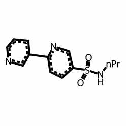 CCCNS(=O)(=O)c1ccc(-c2cccnc2)nc1